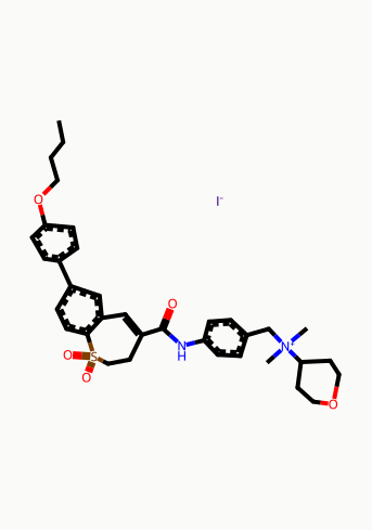 CCCCOc1ccc(-c2ccc3c(c2)C=C(C(=O)Nc2ccc(C[N+](C)(C)C4CCOCC4)cc2)CCS3(=O)=O)cc1.[I-]